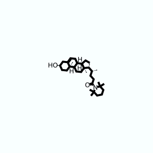 C[C@H](CCC(=O)N1C(C)(C)CCCC1(C)C)[C@H]1CC[C@H]2[C@@H]3CC=C4C[C@@H](O)CC[C@]4(C)[C@H]3CC[C@]12C